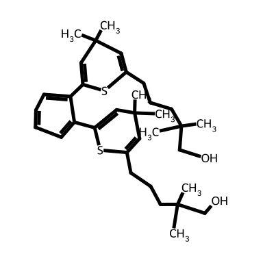 CC1(C)C=C(CCCC(C)(C)CO)SC(c2ccccc2C2=CC(C)(C)C=C(CCCC(C)(C)CO)S2)=C1